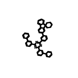 c1ccc(-c2cccc(-c3nc(-c4cccc(-c5ccccc5)c4)nc(-c4cccc(-c5ccc6c(c5)C5(CCCCC5)c5ccccc5-6)c4)n3)c2)cc1